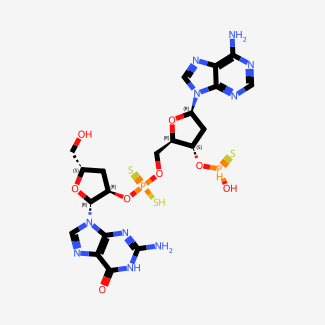 Nc1nc2c(ncn2[C@@H]2O[C@H](CO)C[C@H]2OP(=S)(S)OC[C@H]2O[C@@H](n3cnc4c(N)ncnc43)C[C@@H]2O[PH](O)=S)c(=O)[nH]1